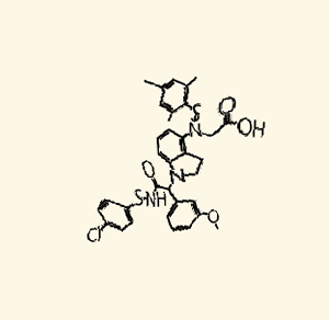 COc1cccc(C(C(=O)NSc2ccc(Cl)cc2)N2CCc3c(N(CC(=O)O)Sc4c(C)cc(C)cc4C)cccc32)c1